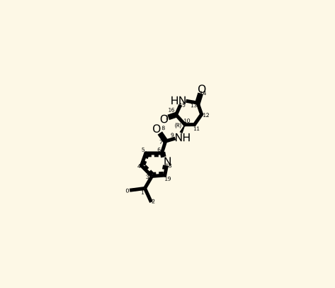 CC(C)c1ccc(C(=O)N[C@@H]2CCC(=O)NC2=O)nc1